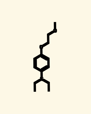 CCN(CC)c1ccc(OCCOC)cc1